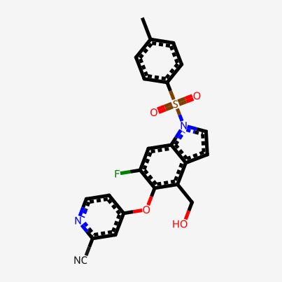 Cc1ccc(S(=O)(=O)n2ccc3c(CO)c(Oc4ccnc(C#N)c4)c(F)cc32)cc1